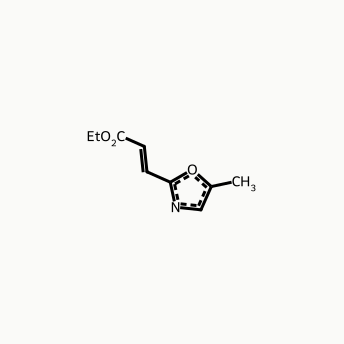 CCOC(=O)/C=C/c1ncc(C)o1